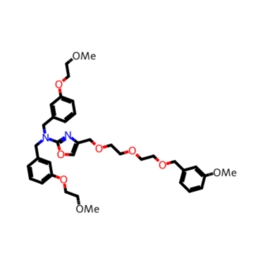 COCCOc1cccc(CN(Cc2cccc(OCCOC)c2)c2nc(COCCOCCOCc3cccc(OC)c3)co2)c1